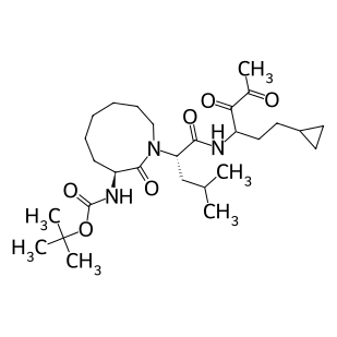 CC(=O)C(=O)C(CCC1CC1)NC(=O)[C@H](CC(C)C)N1CCCCCC[C@H](NC(=O)OC(C)(C)C)C1=O